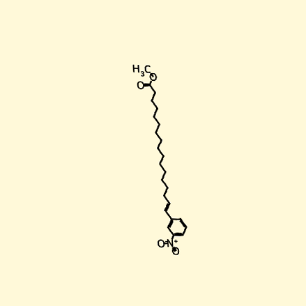 COC(=O)CCCCCCCCCCCCCCC=Cc1cccc([N+](=O)[O-])c1